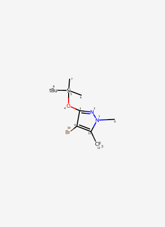 Cn1nc(O[Si](C)(C)C(C)(C)C)c(Br)c1C(F)(F)F